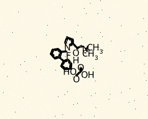 CN(C)CC(O)c1cccn1Cc1ccccc1-c1ccccc1F.O=C(O)C(=O)O